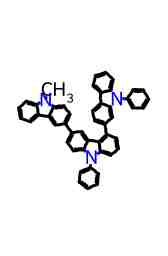 Cn1c2ccccc2c2cc(-c3ccc4c(c3)c3c(-c5ccc6c7ccccc7n(-c7ccccc7)c6c5)cccc3n4-c3ccccc3)ccc21